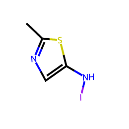 Cc1ncc(NI)s1